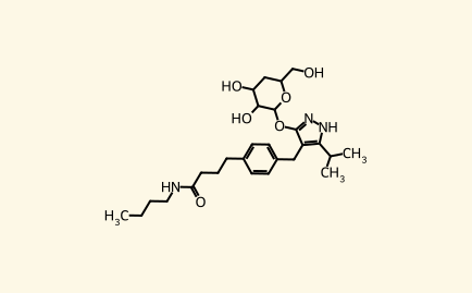 CCCCNC(=O)CCCc1ccc(Cc2c(OC3OC(CO)CC(O)C3O)n[nH]c2C(C)C)cc1